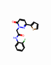 O=C(Cn1nc(-c2cccs2)ccc1=O)Nc1ccccc1F